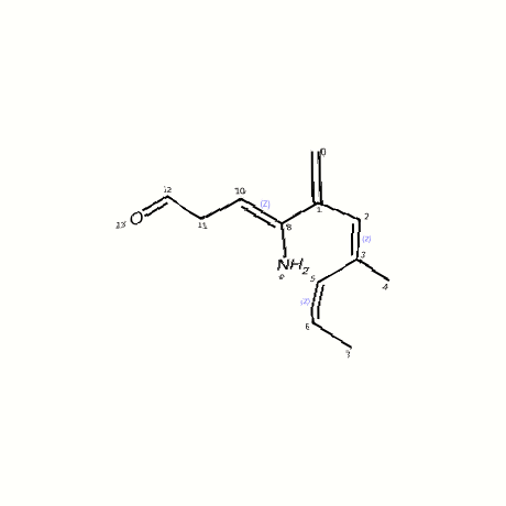 C=C(/C=C(C)\C=C/C)/C(N)=C/CC=O